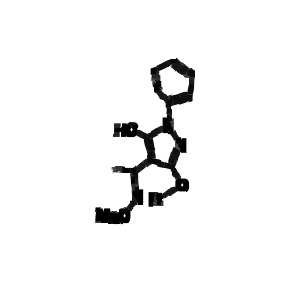 CCOc1nn(-c2ccccc2)c(O)c1C(C)=NOC